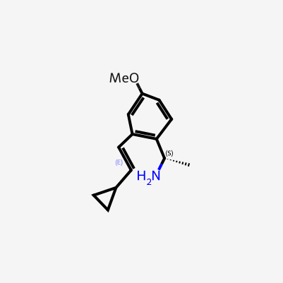 COc1ccc([C@H](C)N)c(/C=C/C2CC2)c1